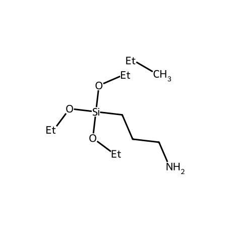 CCC.CCO[Si](CCCN)(OCC)OCC